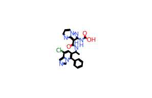 CC(NC(=O)c1c(NC(=O)O)nn2cccnc12)c1cc(Cl)c2cncn2c1-c1ccccc1